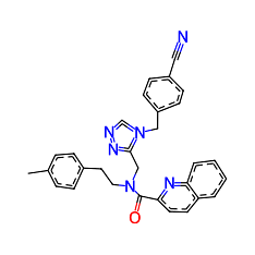 Cc1ccc(CCN(Cc2nncn2Cc2ccc(C#N)cc2)C(=O)c2ccc3ccccc3n2)cc1